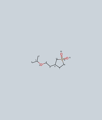 CC(C)OCCC1CCS(=O)(=O)C1